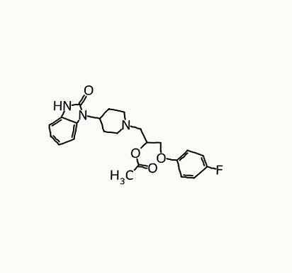 CC(=O)OC(COc1ccc(F)cc1)CN1CCC(n2c(=O)[nH]c3ccccc32)CC1